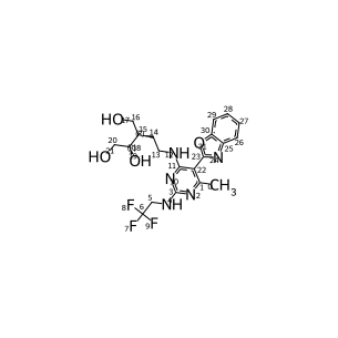 Cc1nc(NCC(F)(F)F)nc(NCC[C@H](CO)[C@@H](O)CO)c1-c1nc2ccccc2o1